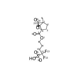 CC12CCC(C(=O)OCCCC(F)(F)S(=O)(=O)O)(OC1=O)C2(C)C